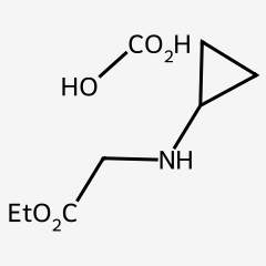 CCOC(=O)CNC1CC1.O=C(O)O